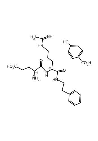 N=C(N)NCCC[C@H](NC(=O)[C@@H](N)CCC(=O)O)C(=O)NCCc1ccccc1.O=C(O)c1ccc(O)cc1